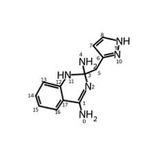 NC1=NC(N)(Cc2cc[nH]n2)Nc2ccccc21